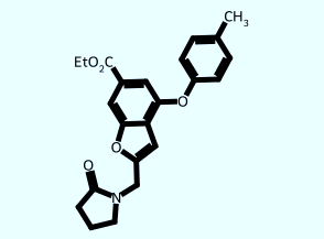 CCOC(=O)c1cc(Oc2ccc(C)cc2)c2cc(CN3CCCC3=O)oc2c1